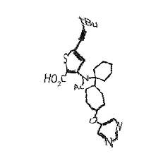 CC(=O)N(c1cc(C#CC(C)(C)C)sc1C(=O)O)C1(C2CCC(Oc3cncnc3)CC2)CCCCC1